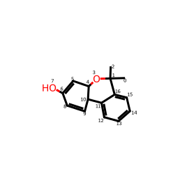 CC1(C)OC2C=C(O)C=CC2c2ccccc21